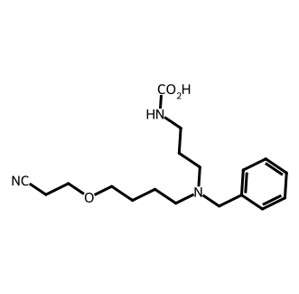 N#CCCOCCCCN(CCCNC(=O)O)Cc1ccccc1